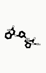 CC(C)(C)OC(=O)NC1(CNc2cccc(Oc3cc(=O)[nH]c4ccccc34)c2)CCCC1